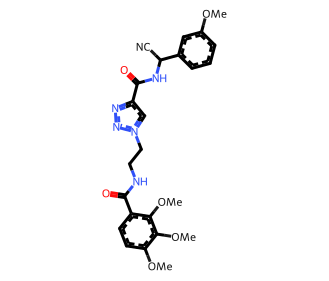 COc1cccc(C(C#N)NC(=O)c2cn(CCNC(=O)c3ccc(OC)c(OC)c3OC)nn2)c1